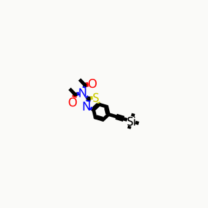 CC(=O)N(C(C)=O)c1nc2ccc(C#C[Si](C)(C)C)cc2s1